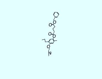 CCCc1cc(OC(=O)CCCC(=O)OCc2ccccc2)c(C)cc1OCCN(C)C